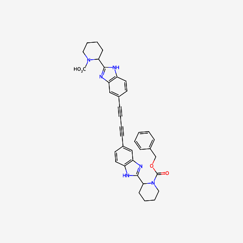 O=C(O)N1CCCCC1c1nc2cc(C#CC#Cc3ccc4[nH]c(C5CCCCN5C(=O)OCc5ccccc5)nc4c3)ccc2[nH]1